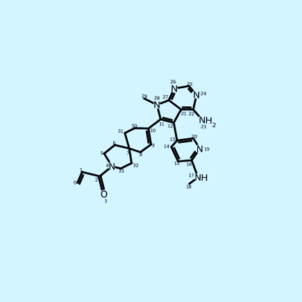 C=CC(=O)N1CCC2(CC=C(c3c(-c4ccc(NC)nc4)c4c(N)ncnc4n3C)CC2)CC1